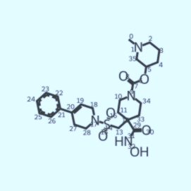 CN1CCCC(OC(=O)N2CCC(CS(=O)(=O)N3CC=C(c4ccccc4)CC3)(C(=O)NO)CC2)C1